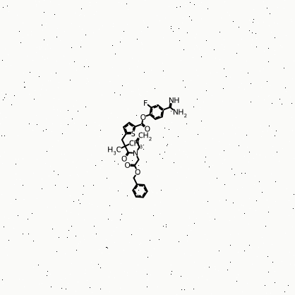 C=CCN(CC(=O)OCc1ccccc1)C(=O)C(C)(C)Cc1ccc(C(=O)Oc2ccc(C(=N)N)cc2F)s1